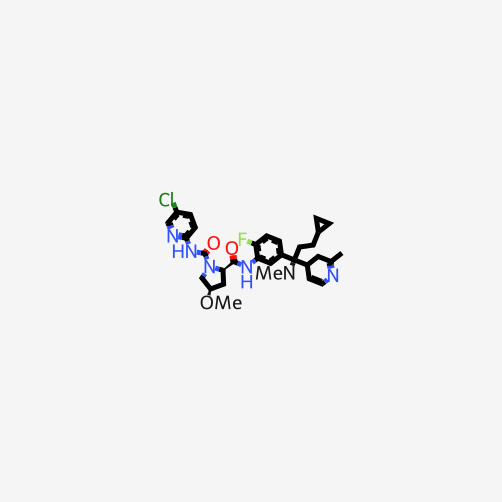 CNC(CCC1CC1)(c1ccc(F)c(NC(=O)[C@H]2C[C@@H](OC)CN2C(=O)Nc2ccc(Cl)cn2)c1)C1C=CN=C(C)C1